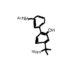 CCCCCCC(C)(C)c1ccc(-c2cccc(NC(C)=O)c2)c(O)c1